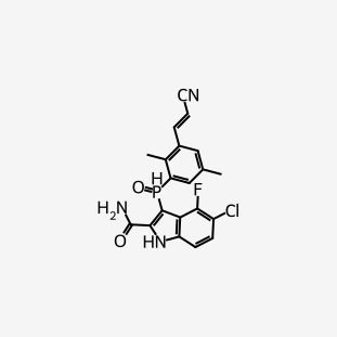 Cc1cc(/C=C/C#N)c(C)c([PH](=O)c2c(C(N)=O)[nH]c3ccc(Cl)c(F)c23)c1